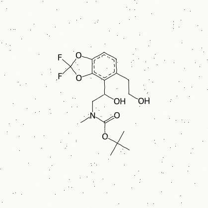 CN(CC(O)c1c(CCO)ccc2c1OC(F)(F)O2)C(=O)OC(C)(C)C